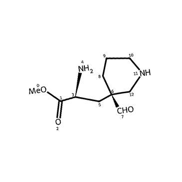 COC(=O)[C@@H](N)C[C@]1(C=O)CCCNC1